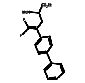 CCOC(=O)C(CC(=C(F)F)c1ccc(-c2ccccc2)cc1)NC